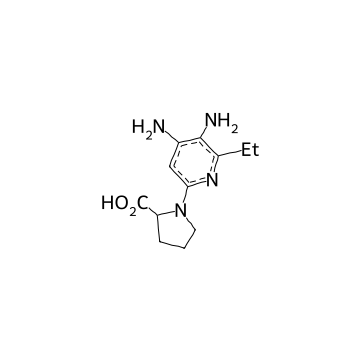 CCc1nc(N2CCCC2C(=O)O)cc(N)c1N